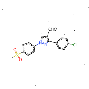 CS(=O)(=O)c1ccc(-n2cc(C=O)c(-c3ccc(Cl)cc3)n2)cc1